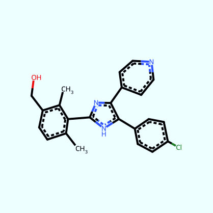 Cc1ccc(CO)c(C)c1-c1nc(-c2ccncc2)c(-c2ccc(Cl)cc2)[nH]1